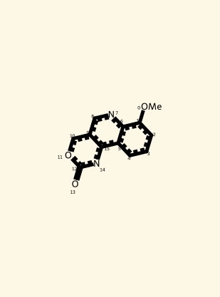 COc1cccc2c1ncc1coc(=O)nc12